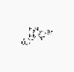 Nc1cc(Br)cnc1NCC1CCOCC1